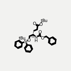 CC(C)(C)OC(=O)CC[C@@H](CO[Si](c1ccccc1)(c1ccccc1)C(C)(C)C)NC(=O)OCc1ccccc1